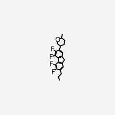 CCCc1cc2c(c(F)c1F)-c1c(cc(C3CCC(C)OC3)c(F)c1F)C2